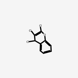 ClC1=C(Cl)C(Cl)c2ccccc2O1